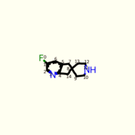 Fc1cnc2c(c1)CC1(CCNCC1)C2